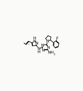 C/C=C/c1cc(Nc2nc(N)nc(N3CCCC3c3ccccc3F)n2)n[nH]1